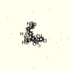 Cc1nn([C@H](C)c2ccc(Cl)cc2Cl)c2nc(N3CCC(N4CCC[C@H]4CC(F)(F)C(=O)O)C(C)C3)cnc12.O=C(O)C(F)(F)F